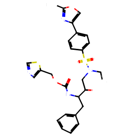 Cc1nc(-c2ccc(S(=O)(=O)N(CC(C)C)CC(O)C(Cc3ccccc3)NC(=O)OCc3cncs3)cc2)co1